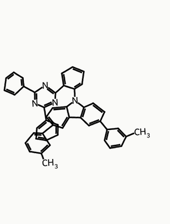 Cc1cccc(-c2ccc3c(c2)c2cc(-c4cccc(C)c4)ccc2n3-c2ccccc2-c2nc(-c3ccccc3)nc(-c3ccccc3)n2)c1